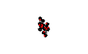 CC1=C(c2cc(-c3cc4c5ccccc5n(-c5cccc6c5oc5ccccc56)c4cc3-n3c4ccccc4c4ccccc43)c(-n3c4ccccc4c4ccccc43)cc2Nc2cccc3c2oc2ccccc23)C=CCC1